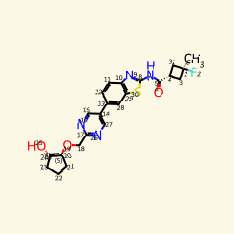 C[C@]1(F)C[C@H](C(=O)Nc2nc3ccc(-c4cnc(CO[C@H]5CCC[C@@H]5O)nc4)cc3s2)C1